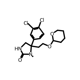 CN1C(=O)NCC1(CCOC1CCCCO1)c1ccc(Cl)c(Cl)c1